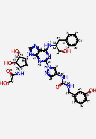 O=C(CO)N[C@H]1C[C@@H](n2cnc3c(N[C@H](CO)Cc4ccccc4)nc(-n4cc(NC(=O)NCc5cccc(O)c5)cn4)nc32)[C@H](O)[C@@H]1O